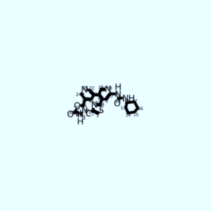 Cc1csc(-c2cc(NC(=O)NC3CCCCC3)ncc2-c2cncc(-c3n[nH]c(=O)o3)c2)n1